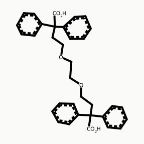 O=C(O)C(CCOCCOCCC(C(=O)O)(c1ccccc1)c1ccccc1)(c1ccccc1)c1ccccc1